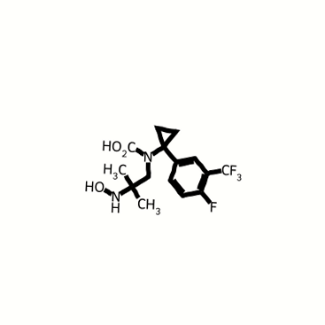 CC(C)(CN(C(=O)O)C1(c2ccc(F)c(C(F)(F)F)c2)CC1)NO